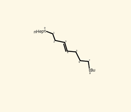 CCCCCCCCCC=CCCCC(C)(C)C